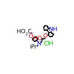 CC(C)CN(C[C@H](O)COc1cccc2[nH]c3ccccc3c12)c1ccc(OCC(=O)O)cc1.Cl